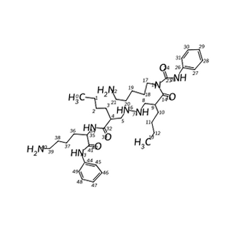 CCCCC(CNNCC(CCCC)C(=O)N(CCCCCN)C(=O)Nc1ccccc1)C(=O)NC(CCCCN)C(=O)Nc1ccccc1